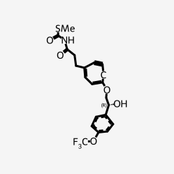 CSC(=O)NC(=O)CCC1=CC=C(OC[C@H](O)c2ccc(OC(F)(F)F)cc2)CC#C1